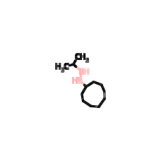 CC(C)BBC1CCCCCCCC1